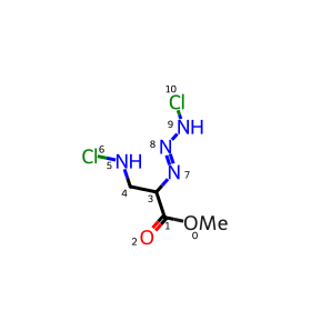 COC(=O)C(CNCl)N=NNCl